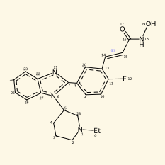 CCN1CCCC(n2c(-c3ccc(F)c(/C=C/C(=O)NO)c3)nc3ccccc32)C1